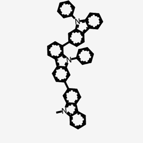 Cn1c2ccccc2c2ccc(-c3ccc4c5cccc(-c6ccc7c8ccccc8n(-c8ccccc8)c7c6)c5n(-c5ccccc5)c4c3)cc21